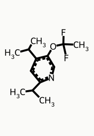 CC(C)c1cc(C(C)C)c(OC(C)(F)F)cn1